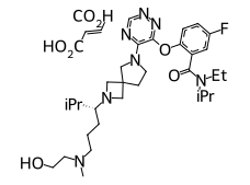 CCN(C(=O)c1cc(F)ccc1Oc1nncnc1N1CCC2(C1)CN([C@H](CCCN(C)CCO)C(C)C)C2)C(C)C.O=C(O)/C=C/C(=O)O